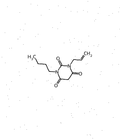 C=CCN1C(=O)CC(=O)N(CCCC)C1=O